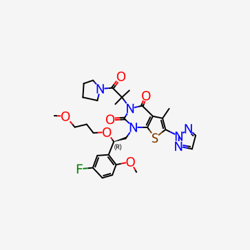 COCCCO[C@@H](Cn1c(=O)n(C(C)(C)C(=O)N2CCCC2)c(=O)c2c(C)c(-n3nccn3)sc21)c1cc(F)ccc1OC